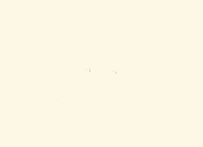 COC(=O)C(CC(C)C)NC(=O)C(N)CC(C)(C)C.Cl